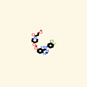 COCCC(=O)N1CCC(OCOc2ccc3ncnc(Nc4ccc(F)c(Cl)c4)c3c2)CC1